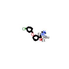 CCOC(Cn1cncn1)(OCC(C)C)/C1=C(CC)/C=C(/OCC2=CCC(Cl)C=C=C2)CC#CC1